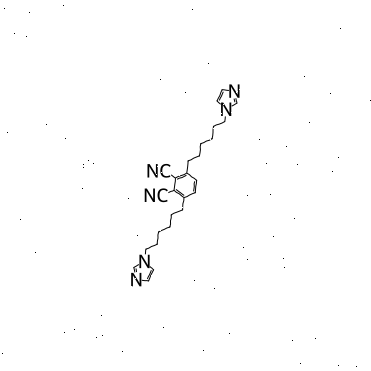 N#Cc1c(CCCCCCn2ccnc2)ccc(CCCCCCn2ccnc2)c1C#N